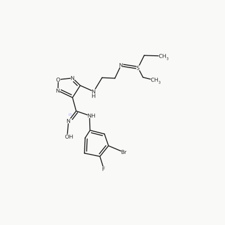 CCS(CC)=NCCNc1nonc1/C(=N/O)Nc1ccc(F)c(Br)c1